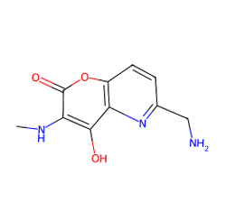 CNc1c(O)c2nc(CN)ccc2oc1=O